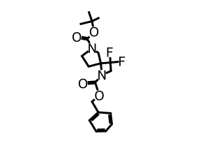 CC(C)(C)OC(=O)N1CCC2(C1)N(C(=O)OCc1ccccc1)CC2(F)F